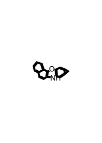 c1ccc2c3c(ccc2c1)Nc1cc2c(cc1O3)C2